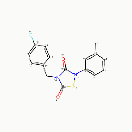 Cc1cccc(-n2sc(=O)n(Cc3ccc(F)cc3)c2=O)c1